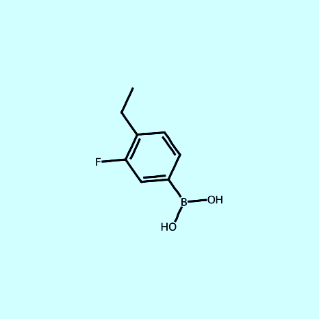 CCc1ccc(B(O)O)cc1F